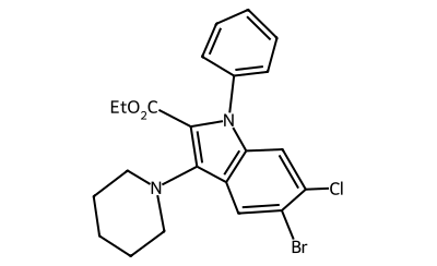 CCOC(=O)c1c(N2CCCCC2)c2cc(Br)c(Cl)cc2n1-c1ccccc1